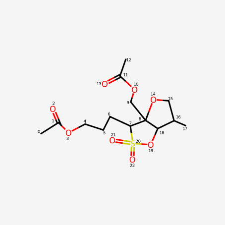 CC(=O)OCCCC1C2(COC(C)=O)OCC(C)C2OS1(=O)=O